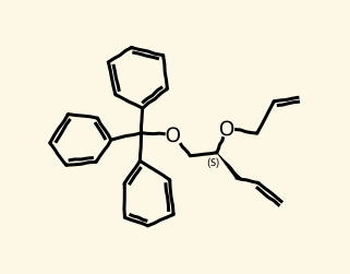 C=CCO[C@@H](CC=C)COC(c1ccccc1)(c1ccccc1)c1ccccc1